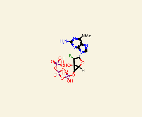 CNc1nc(N)nc2c1ncn2[C@@H]1O[C@@H]2C(OP(=O)(O)OP(=O)(O)OP(=O)(O)O)[C@]2(O)[C@H]1F